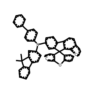 CC1(C)c2ccccc2-c2ccc(N(c3ccc(-c4ccccc4)cc3)c3ccc4c(c3)C3(c5ccccc5Oc5ccccc53)c3c-4ccc4ccccc34)cc21